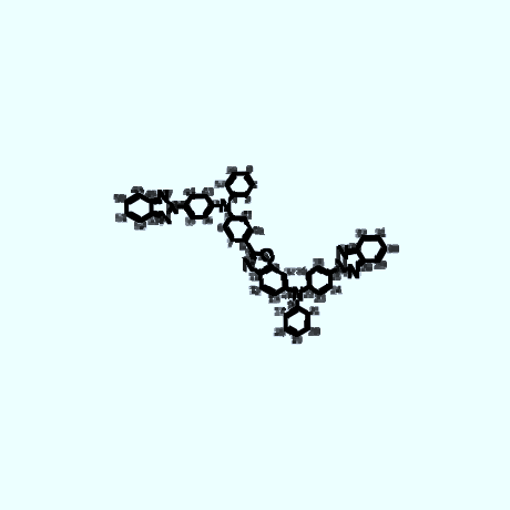 c1ccc(N(c2ccc(-c3nc4ccc(N(c5ccccc5)c5ccc(-n6nc7ccccc7n6)cc5)cc4o3)cc2)c2ccc(-n3nc4ccccc4n3)cc2)cc1